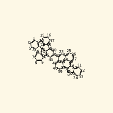 c1ccc2c(c1)-c1ccccc1C21c2ccccc2-c2cc(-c3cc4cccc5c6c7ccccc7sc6c6cccc3c6c45)ccc21